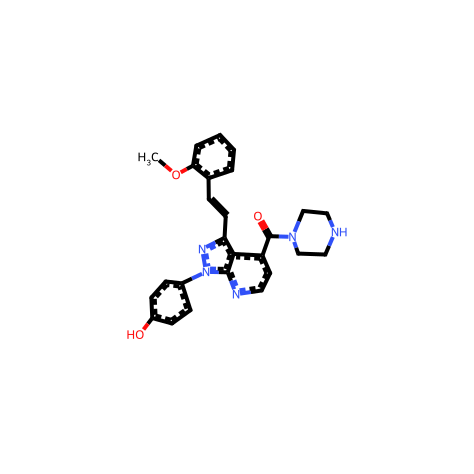 COc1ccccc1C=Cc1nn(-c2ccc(O)cc2)c2nccc(C(=O)N3CCNCC3)c12